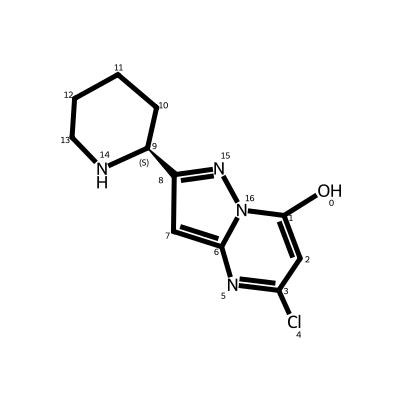 Oc1cc(Cl)nc2cc([C@@H]3CCCCN3)nn12